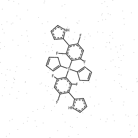 Fc1cc(F)[c]([Ti]([C]2=CC=CC2)([C]2=CC=CC2)[c]2c(F)cc(F)c(-c3ccc[nH]3)c2F)c(F)c1-c1ccc[nH]1